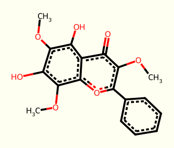 COc1c(O)c(OC)c2oc(-c3ccccc3)c(OC)c(=O)c2c1O